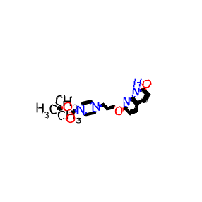 CC(C)(C)OC(=O)N1CCN(CCCOc2ccc3ccc(=O)[nH]c3n2)CC1